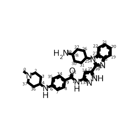 CN1CCC(Nc2ccc(C(=O)Nc3cc(-c4nc5ccccc5n4C4CCC(N)CC4)[nH]n3)cc2)CC1